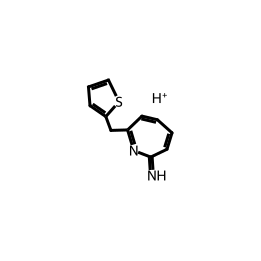 N=c1ccccc(Cc2cccs2)n1.[H+]